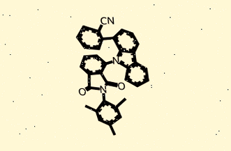 Cc1cc(C)c(N2C(=O)c3cccc(-n4c5ccccc5c5cccc(-c6ccccc6C#N)c54)c3C2=O)c(C)c1